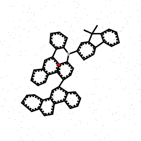 CC1(C)c2ccccc2-c2ccc(N(c3ccc(-c4cc5c6ccccc6ccc5c5ccccc45)cc3)c3ccccc3-c3ccc4ccccc4c3)cc21